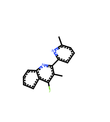 Cc1cccc(-c2nc3ccccc3c(F)c2C)n1